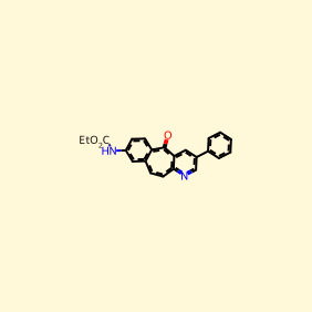 CCOC(=O)Nc1ccc2c(=O)c3cc(-c4ccccc4)cnc3ccc2c1